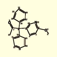 COc1ccc(C(C(C)=O)(c2ccccc2)c2ccccc2)cn1